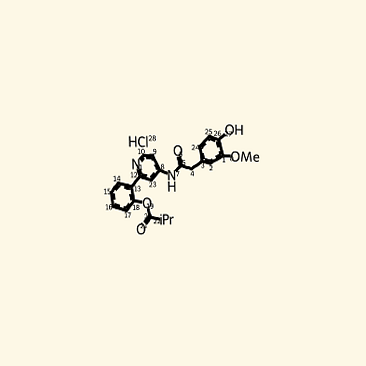 COc1cc(CC(=O)Nc2ccnc(-c3ccccc3OC(=O)C(C)C)c2)ccc1O.Cl